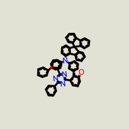 c1ccc(-c2ccc(N(c3ccc4oc5cccc(-c6nc(-c7ccccc7)nc(-c7ccccc7)n6)c5c4c3)c3cccc4c3-c3ccccc3C43c4ccccc4-c4ccccc43)cc2)cc1